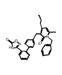 CCCc1cc(C)n(Cc2ccccc2)c(=O)c1Cc1ccc(-c2ccccc2-c2noc(=O)[nH]2)cc1